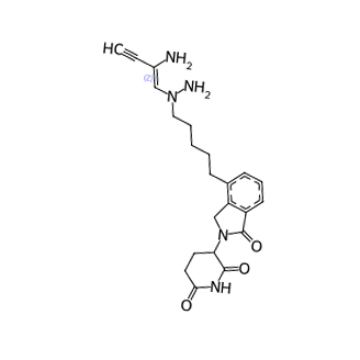 C#C/C(N)=C/N(N)CCCCCc1cccc2c1CN(C1CCC(=O)NC1=O)C2=O